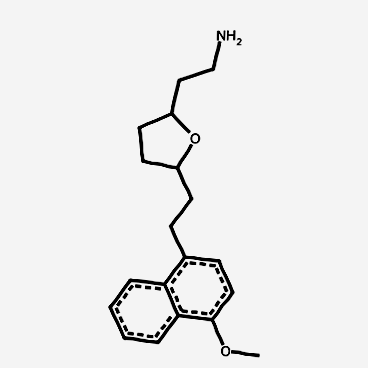 COc1ccc(CCC2CCC(CCN)O2)c2ccccc12